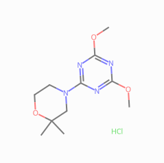 COc1nc(OC)nc(N2CCOC(C)(C)C2)n1.Cl